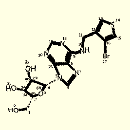 OC[C@H]1O[C@@H](n2cnc3c(NCc4cscc4Br)ncnc32)[C@H](O)[C@@H]1O